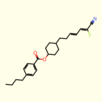 CCCCc1ccc(C(=O)OC2CCC(CCC=CC=C(F)C#N)CC2)cc1